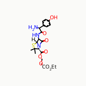 CCOC(=O)OCOC(=O)[C@@H]1N2C(=O)C(NC(=O)C(N)c3ccc(O)cc3)[C@H]2SC1(C)C